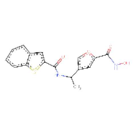 CC(NC(=O)c1cc2ccccc2s1)c1coc(C(=O)NO)c1